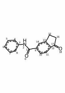 O=C(Nc1ccccc1)c1ccc2c(c1)CCC2=O